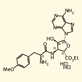 CCOC(=O)[C@H]1O[C@@H](n2cnc3c(N)ncnc32)[C@H](O)[C@@H]1NC(=O)[C@@H](N)Cc1ccc(OC)cc1.Cl.Cl